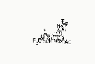 CC(=O)c1cc(-c2cnn(C(F)F)c2)c2ccc(CN3C[C@@H](C)O[C@@H](C(F)(F)F)C3)cc2n1